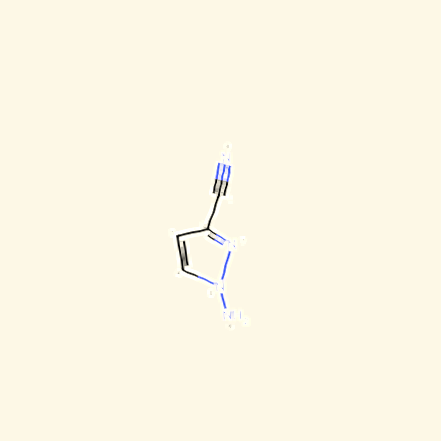 N#Cc1ccn(N)n1